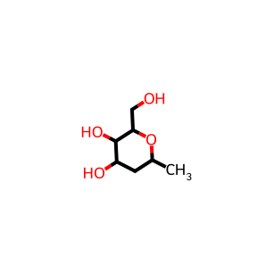 CC1CC(O)C(O)C(CO)O1